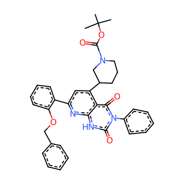 CC(C)(C)OC(=O)N1CCCC(c2cc(-c3ccccc3OCc3ccccc3)nc3[nH]c(=O)n(-c4ccccc4)c(=O)c23)C1